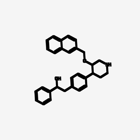 OC(Cc1ccc(C2CCNCC2OCc2ccc3ccccc3c2)cc1)c1ccccc1